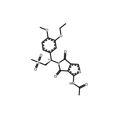 CCOc1cc([C@H](CS(C)(=O)=O)N2C(=O)c3csc(NC(C)=O)c3C2=O)ccc1OC